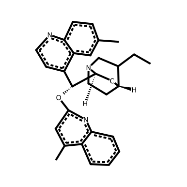 CCC1CN2CC[C@@H]1C[C@H]2[C@H](Oc1cc(C)c2ccccc2n1)c1ccnc2ccc(C)cc12